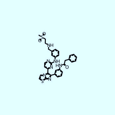 CS(=O)(=O)CCNCc1cccc(Nc2nccc(-c3c(-c4cccc(NC(=O)Cc5ccccc5)c4)nc4sccn34)n2)c1